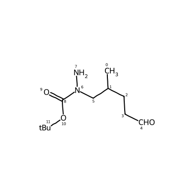 CC(CCC=O)CN(N)C(=O)OC(C)(C)C